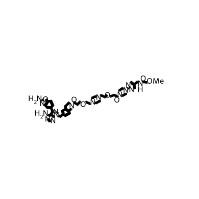 COCC(=O)NCc1cnc(N2CCN(C(=O)CCOCCN3CCN(CCOCCC(=O)N4CCc5cc(Cn6nc(-c7ccc8oc(N)nc8c7)c7c(N)ncnc76)ccc5C4)CC3)CC2)nc1